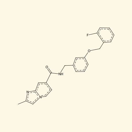 Cc1cn2ccc(C(=O)NCc3cccc(OCc4ccccc4F)c3)cc2n1